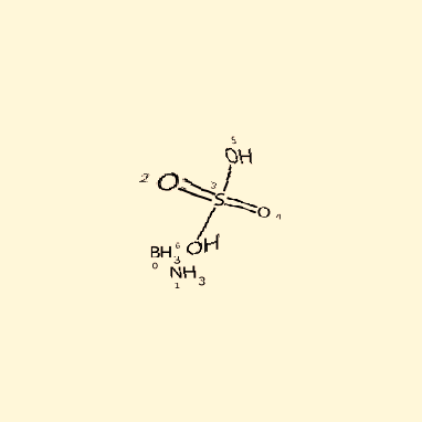 B.N.O=S(=O)(O)O